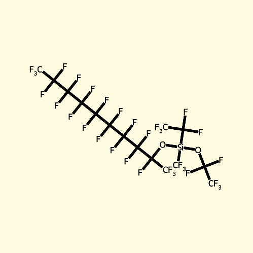 FC(F)(F)C(F)(F)O[Si](OC(F)(C(F)(F)F)C(F)(F)C(F)(F)C(F)(F)C(F)(F)C(F)(F)C(F)(F)C(F)(F)C(F)(F)F)(C(F)(F)F)C(F)(F)C(F)(F)F